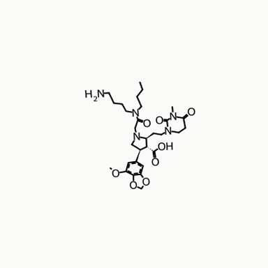 CCCCN(CCCCN)C(=O)CN1C[C@H](c2cc(OC)c3c(c2)OCO3)[C@@H](C(=O)O)[C@@H]1CCN1CCC(=O)N(C)C1=O